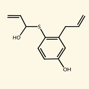 C=CCc1cc(O)ccc1SC(O)C=C